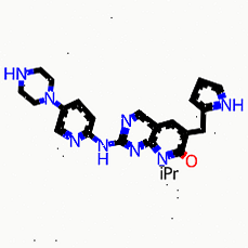 CC(C)n1c(=O)c(Cc2ccc[nH]2)cc2cnc(Nc3ccc(N4CCNCC4)cn3)nc21